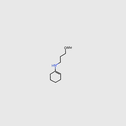 COCCCNC1=CCCCC1